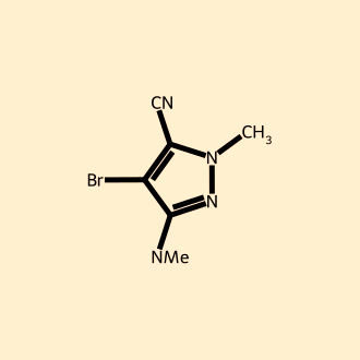 CNc1nn(C)c(C#N)c1Br